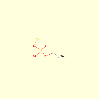 C=CCOP(=O)(O)OS